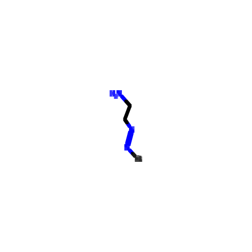 CCN=NCCN